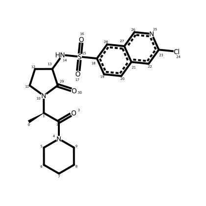 C[C@H](C(=O)N1CCCCC1)N1CCC(NS(=O)(=O)c2ccc3cc(Cl)ncc3c2)C1=O